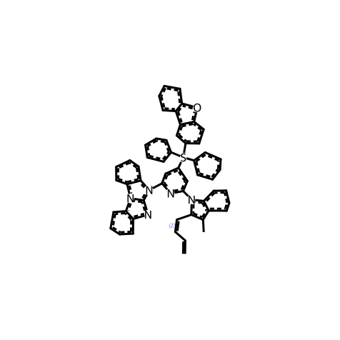 C=C/C=C\c1c(C)c2ccccc2n1-c1cc(S(c2ccccc2)(c2ccccc2)c2ccc3oc4ccccc4c3c2)cc(-n2c3ccccc3n3c4ccccc4nc23)n1